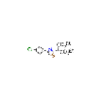 CCOC(=O)C(C(=O)OCC)c1nc(-c2ccc(Cl)cc2)cs1